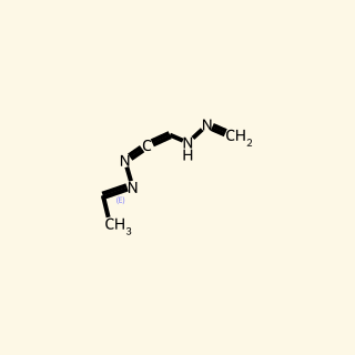 C=NNC=C=N/N=C/C